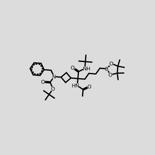 CC(=O)NC(CCCCB1OC(C)(C)C(C)(C)O1)(C(=O)NC(C)(C)C)C1CC(N(Cc2ccccc2)C(=O)OC(C)(C)C)C1